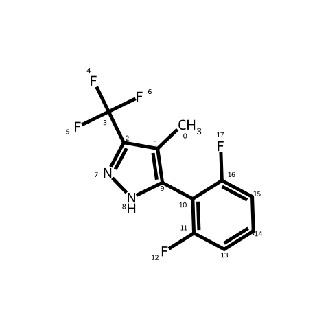 Cc1c(C(F)(F)F)n[nH]c1-c1c(F)c[c]cc1F